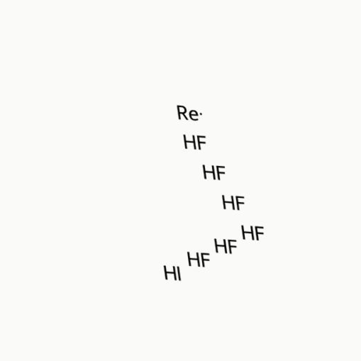 F.F.F.F.F.F.I.[Re]